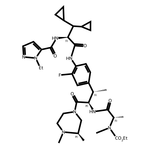 CCOC(=O)N(C)[C@@H](C)C(=O)N[C@@H](C(=O)N1CCN(C)[C@H](C)C1)[C@@H](C)c1ccc(NC(=O)[C@@H](NC(=O)c2ccnn2CC)C(C2CC2)C2CC2)c(F)c1